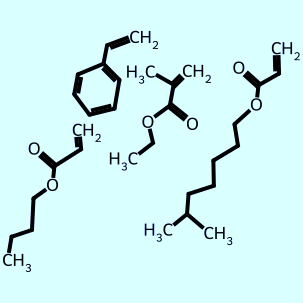 C=C(C)C(=O)OCC.C=CC(=O)OCCCC.C=CC(=O)OCCCCCC(C)C.C=Cc1ccccc1